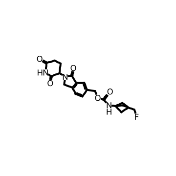 O=C1CCC(N2Cc3ccc(COC(=O)NC45CC(CF)(C4)C5)cc3C2=O)C(=O)N1